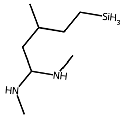 CNC(CC(C)CC[SiH3])NC